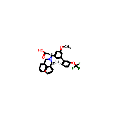 COc1cc(-c2cccc(OC(F)(F)F)c2)cc([C@H](CC(=O)O)N(Cc2ccccc2)[C@H](C)c2ccccc2)c1